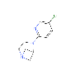 Clc1ccc(N2CCN3CC2C3)nc1